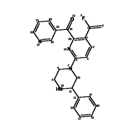 C=C(F)c1ccc(N2CCNC(c3ccccc3)C2)nc1C(=O)c1cccnc1